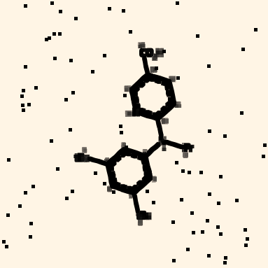 CC(C)N(c1cc(C(C)(C)C)cc(C(C)(C)C)c1)c1ccc(C(=O)O)cn1